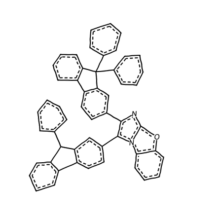 c1ccc(C2c3ccccc3-c3ccc(-c4c(-c5ccc6c(c5)C(c5ccccc5)(c5ccccc5)c5ccccc5-6)nc5oc6ccccc6n45)cc32)cc1